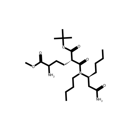 CCCC[C@@H](CC(N)=O)N(CCCC)C(=O)[C@H](CCC(N)C(=O)OC)C(=O)OC(C)(C)C